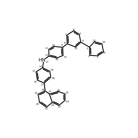 c1ccc(-c2cccc(-c3ccc(Nc4ccc(-c5cccc6ccccc56)cc4)cc3)c2)cc1